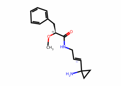 CO[C@@H](Cc1ccccc1)C(=O)NC/C=C/C1(N)CC1